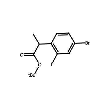 CC(C(=O)OC(C)(C)C)c1ccc(Br)cc1I